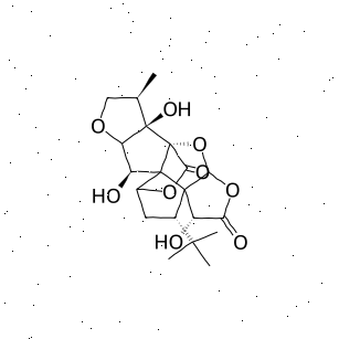 C[C@@H]1COC2[C@H](O)C34C5C[C@@H](C(C)(C)C)C36C(OC(=O)[C@@H]6O)O[C@@]4(C(=O)O5)[C@]21O